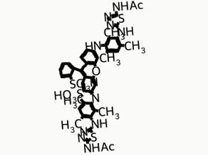 CC(=O)Nc1nnc(Nc2c(C)cc(C)c(/N=c3/cc4oc5cc(Nc6c(C)cc(C)c(Nc7nnc(NC(C)=O)s7)c6C)ccc5c(-c5ccccc5S(=O)(=O)O)c-4cc3S(=O)(=O)O)c2C)s1